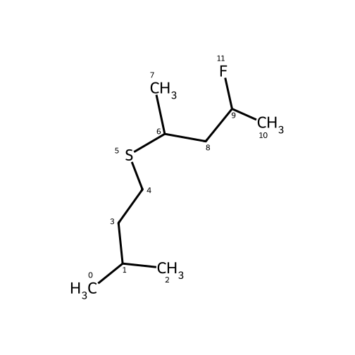 CC(C)CCSC(C)CC(C)F